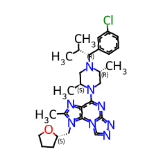 Cc1nc2c(N3C[C@@H](C)N([C@@H](c4cccc(Cl)c4)C(C)C)C[C@@H]3C)nc3nncn3c2n1C[C@@H]1CCCO1